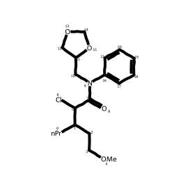 CCCC(CCOC)C(Cl)C(=O)N(CC1COCO1)c1ccccc1